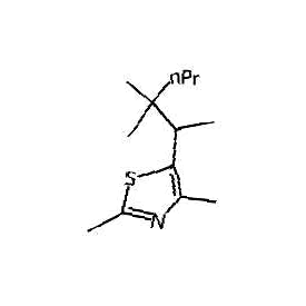 CCCC(C)(C)C(C)c1sc(C)nc1C